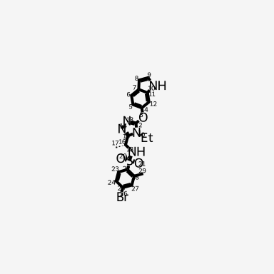 CCn1c(Oc2ccc3cc[nH]c3c2)nnc1[C@@H](C)NS(=O)(=O)c1ccc(Br)cc1C